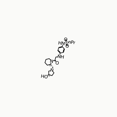 CCCS(=O)(=O)Nc1ccc(NCC(=O)N2CCCC[C@H]2CN2CC[C@H](O)C2)cc1